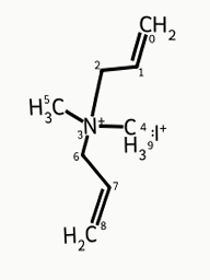 C=CC[N+](C)(C)CC=C.[I+]